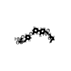 Cc1ccc(CNC(=O)c2ccc(-c3cccc(COc4ccc(Cn5oc(=O)[nH]c5=O)cc4)c3)c(C)c2)o1